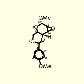 COc1ccc(C2OCC3O[C@H](OC)C4OC4[C@@H]3O2)cc1